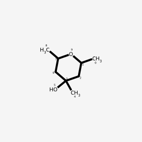 CC1CC(C)(O)CC(C)O1